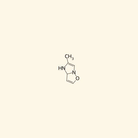 CC1=CN2OC=CC2N1